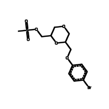 CS(=O)(=O)OCC1COCC(COc2ccc(Br)cc2)O1